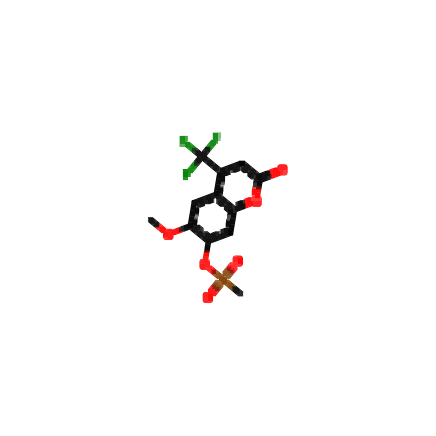 COc1cc2c(C(F)(F)F)cc(=O)oc2cc1OS(C)(=O)=O